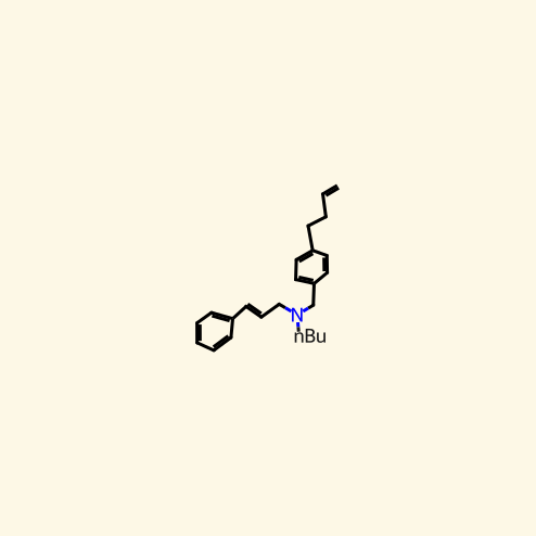 C=CCCc1ccc(CN(C/C=C/c2ccccc2)CCCC)cc1